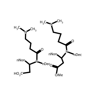 CCCCCCCCCCN(C(=O)CCCN(C)C)C(CCCCCCCCC)CC(=O)O.CCCCCCCCCCN(C(=O)CCCN(C)C)C(CCCCCCCCC)CC(=O)OC